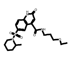 CCOCCCNC(=O)c1cc(=O)[nH]c2ccc(S(=O)(=O)N3CCCCC3C)cc12